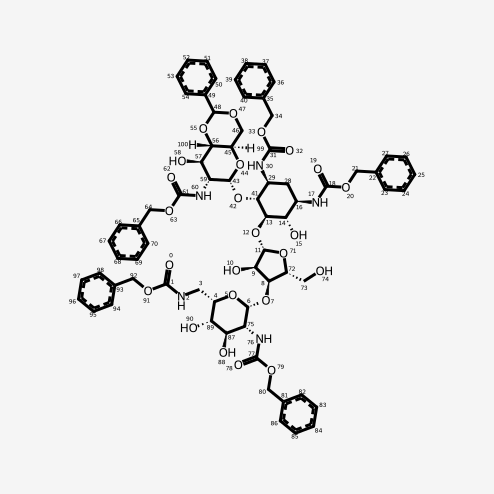 O=C(NC[C@@H]1O[C@H](O[C@H]2[C@@H](O)[C@H](O[C@@H]3[C@@H](O)[C@H](NC(=O)OCc4ccccc4)C[C@H](NC(=O)OCc4ccccc4)[C@H]3O[C@H]3O[C@@H]4COC(c5ccccc5)O[C@H]4[C@H](O)[C@H]3NC(=O)OCc3ccccc3)O[C@@H]2CO)[C@H](NC(=O)OCc2ccccc2)[C@@H](O)[C@@H]1O)OCc1ccccc1